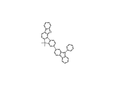 CC1(C)c2cc(-c3ccc4c5ccccc5n(-c5ccccc5)c4c3)ccc2-c2c1ccc1c2oc2ccccc21